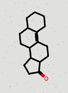 O=C1CCC2C1CCC1=C3CCCCC3CCC12